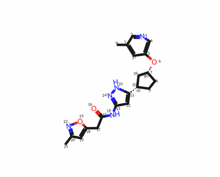 Cc1cncc(O[C@@H]2CC[C@H](c3cc(NC(=O)Cc4cc(C)no4)n[nH]3)C2)c1